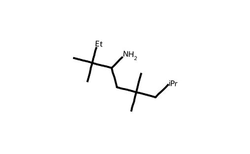 CCC(C)(C)C(N)CC(C)(C)CC(C)C